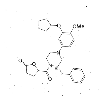 COc1ccc(N2CCN(C(=O)C3CCC(=O)O3)[C@@H](Cc3ccccc3)C2)cc1OC1CCCC1